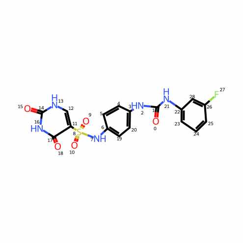 O=C(Nc1ccc(NS(=O)(=O)c2c[nH]c(=O)[nH]c2=O)cc1)Nc1cccc(F)c1